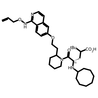 C=CCONc1nccc2cc(OCCC3CCCCN3C(=O)[C@H](CC(C(=O)O)C(C)(C)C)NC3CCCCCCC3)ccc12